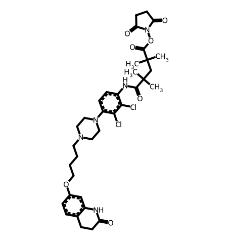 CC(C)(CC(C)(C)C(=O)ON1C(=O)CCC1=O)C(=O)Nc1ccc(N2CCN(CCCCOc3ccc4c(c3)NC(=O)CC4)CC2)c(Cl)c1Cl